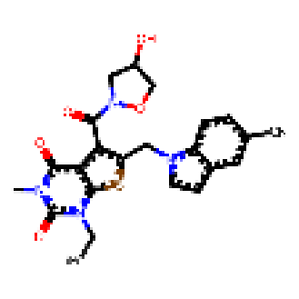 CC(C)Cn1c(=O)n(C)c(=O)c2c(C(=O)N3CC(O)CO3)c(Cn3ccc4cc(C#N)ccc43)sc21